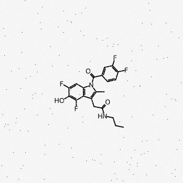 CCCNC(=O)Cc1c(C)n(C(=O)c2ccc(F)c(F)c2)c2cc(F)c(O)c(F)c12